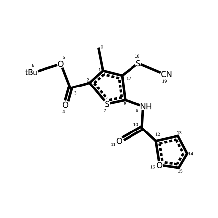 Cc1c(C(=O)OC(C)(C)C)sc(NC(=O)c2ccco2)c1SC#N